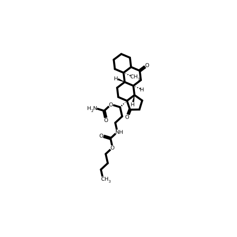 CCCCOC(=O)NCCC(OC(N)=O)[C@]12CC[C@H]3[C@@H](CC(=O)C4CCCC[C@@]43C)[C@@H]1CCC2=O